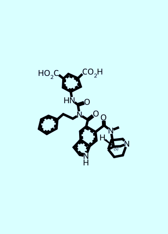 CN(C(=O)c1cc2[nH]ccc2cc1C(=O)N(CCc1ccccc1)C(=O)Nc1cc(C(=O)O)cc(C(=O)O)c1)[C@@H]1CN2CCC1CC2